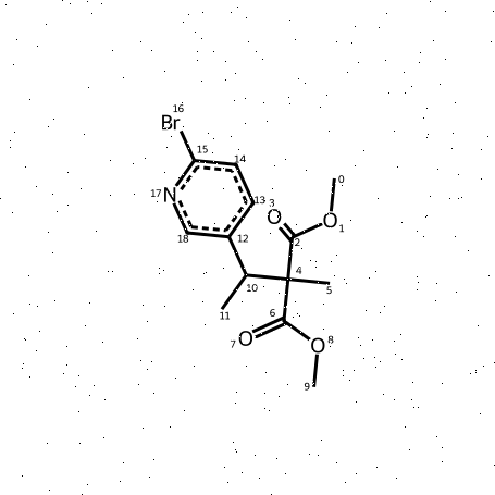 COC(=O)C(C)(C(=O)OC)C(C)c1ccc(Br)nc1